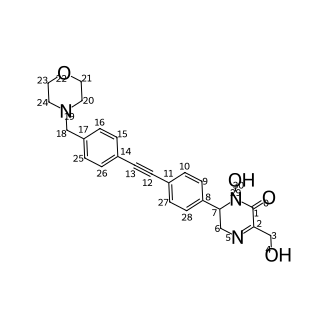 O=C1C(CO)=NCC(c2ccc(C#Cc3ccc(CN4CCOCC4)cc3)cc2)N1O